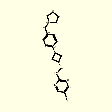 CCc1cnc(OC[C@H]2C[C@H](c3ccc(CN4CCCC4)cc3)C2)nc1